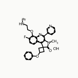 CC(C)NCCOc1c(F)ccc2c3c(c(-c4cccnc4)nc12)N(C)C(=O)C31CC(Oc2ccccc2)C1.Cl